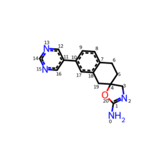 NC1=NCC2(CCc3ccc(-c4cncnc4)cc3C2)O1